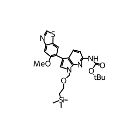 COc1cc2ncsc2cc1-c1cn(COCC[Si](C)(C)C)c2nc(NC(=O)OC(C)(C)C)ccc12